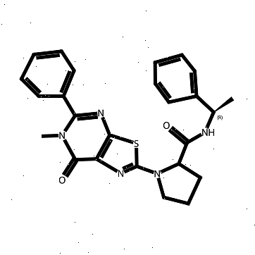 C[C@@H](NC(=O)C1CCCN1c1nc2c(=O)n(C)c(-c3ccccc3)nc2s1)c1ccccc1